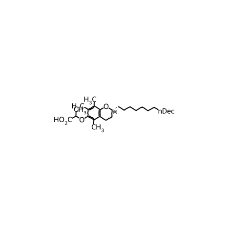 CCCCCCCCCCCCCCCCC[C@@H]1CCc2c(C)c(OC(C)C(=O)O)c(C)c(C)c2O1